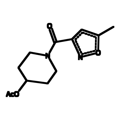 CC(=O)OC1CCN(C(=O)c2cc(C)on2)CC1